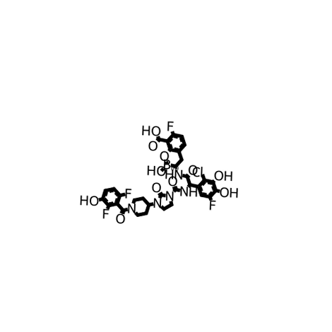 O=C(O)c1c(F)ccc2c1OB(O)[C@@H](NC(=O)C(NC(=O)N1CCN(C3CCN(C(=O)c4c(F)ccc(O)c4F)CC3)C1=O)c1cc(F)c(O)c(O)c1Cl)C2